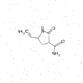 C=CC1CC(C(N)=O)C(=O)N1